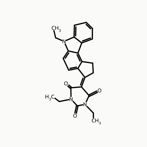 CCN1C(=O)C(=C2CCc3c2ccc2c3c3ccccc3n2CC)C(=O)N(CC)C1=O